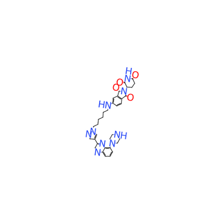 O=C1CCC(N2C(=O)c3ccc(NCCCCCCn4cc(-c5cnc6cccc(N7CCNCC7)c6n5)cn4)cc3C2=O)C(=O)N1